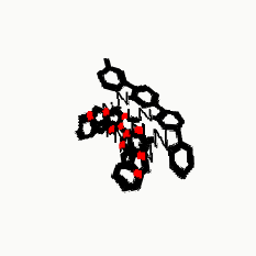 CC1C=c2c(n(-c3nc(-c4ccccc4)nc(-c4ccccc4)n3)c3c2ccc2c4ccc5c(c4n(-c4nc(-c6ccccc6)nc(-c6ccccc6)n4)c23)N(c2nc(-c3ccccc3)nc(-c3ccccc3)n2)C2C=CC=CC52)=CC1